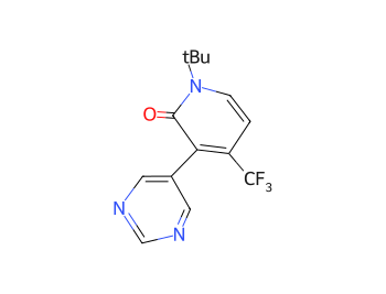 CC(C)(C)n1ccc(C(F)(F)F)c(-c2cncnc2)c1=O